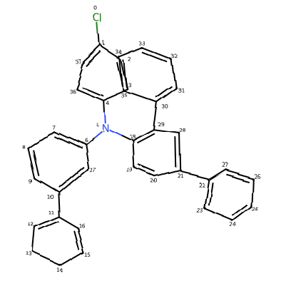 Clc1ccc(N(c2cccc(C3=CCCC=C3)c2)c2ccc(-c3ccccc3)cc2-c2ccccc2)cc1